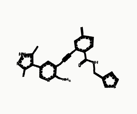 Cc1ccc(C(=O)NCc2ccsc2)c(C#Cc2cc(-c3c(C)n[nH]c3C)cnc2N)c1